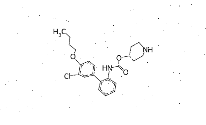 CCCCOc1ccc(-c2ccccc2NC(=O)OC2CCNCC2)cc1Cl